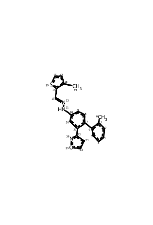 Cc1ccccc1-c1ccc(NN=Cc2sccc2C)cc1-c1ccon1